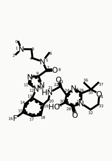 CN(C)CCN(C)C(=O)c1ncn(-c2cc(F)ccc2CNC(=O)c2nc3n(c(=O)c2O)CCOC3(C)C)n1